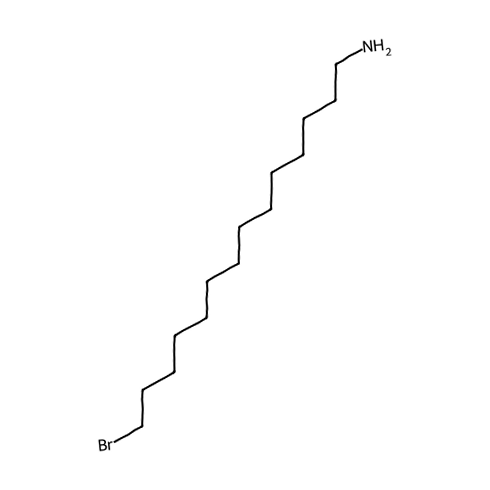 NCCCCCCCCCCCCCCBr